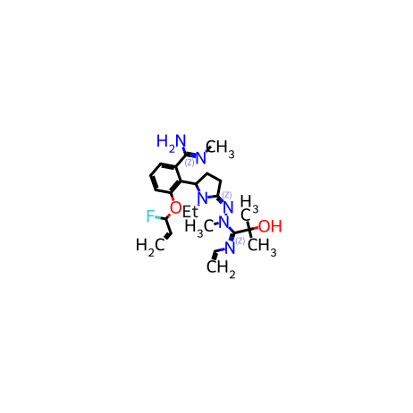 C=C/N=C(\N(C)/N=C1/CCC(c2c(OC(F)C=C)cccc2/C(N)=N/C)N1CC)C(C)(C)O